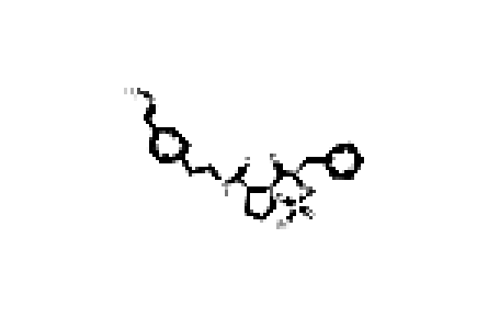 CCS(=O)(=O)N[C@H](Cc1ccccc1)C(=O)N1CCC[C@H]1C(=O)NCCc1ccc(C=NN)cc1